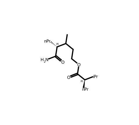 CCC[C@@H](C(=O)OCCC(C)[C@@H](CCC)C(N)=O)C(C)C